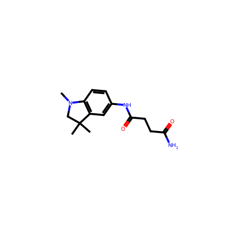 CN1CC(C)(C)c2cc(NC(=O)CCC(N)=O)ccc21